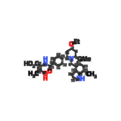 CCO[C@@H]1CCN(Cc2c(OC)cc(C)c3[nH]ccc23)[C@H](c2ccc(C(=O)N[C@H](C(=O)O)[C@@H](C)O)cc2)C1